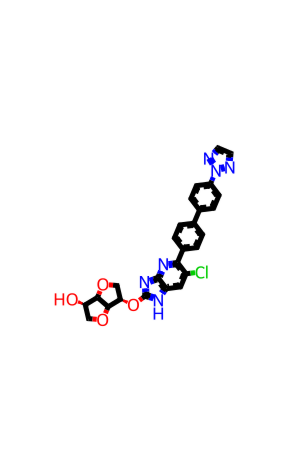 O[C@@H]1COC2C1OC[C@H]2Oc1nc2nc(-c3ccc(-c4ccc(-n5nccn5)cc4)cc3)c(Cl)cc2[nH]1